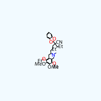 CCOc1c2c(c(OCC)c(OC)c1OC)CN(C)C(CCCC(C#N)(C(CC)CC)C1Oc3ccccc3O1)C2